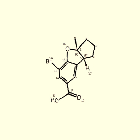 C[C@@]12CCC[C@@H]1c1cc(C(=O)O)cc(Br)c1O2